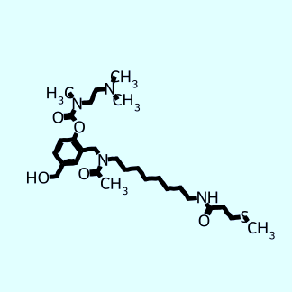 CSCCC(=O)NCCCCCCCCN(Cc1cc(CO)ccc1OC(=O)N(C)CCN(C)C)C(C)=O